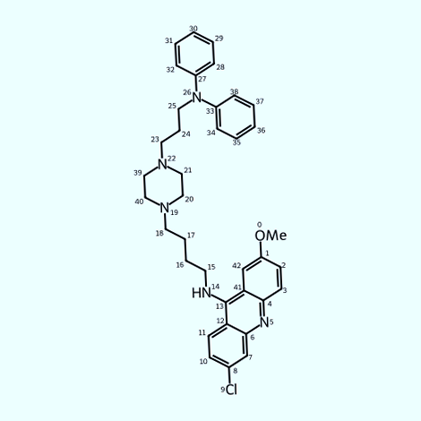 COc1ccc2nc3cc(Cl)ccc3c(NCCCCN3CCN(CCCN(c4ccccc4)c4ccccc4)CC3)c2c1